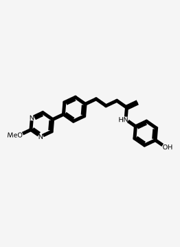 C=C(CCCc1ccc(-c2cnc(OC)nc2)cc1)Nc1ccc(O)cc1